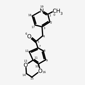 Cc1cc(CC(=O)c2ccc3c(c2)OCCO3)ccn1